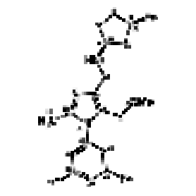 COCc1c(CN[C@H]2CC[C@@H](F)C2)cc(C)n1-c1cc(F)cc(F)c1